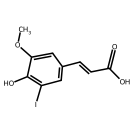 COc1cc(C=CC(=O)O)cc(I)c1O